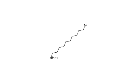 CCCCCCCCCCCCCCCC[N]